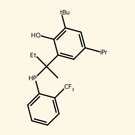 CCC(C)(Pc1ccccc1C(F)(F)F)c1cc(C(C)C)cc(C(C)(C)C)c1O